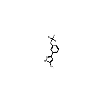 Nc1cc(-c2cccc(SC(F)(F)F)c2)n[nH]1